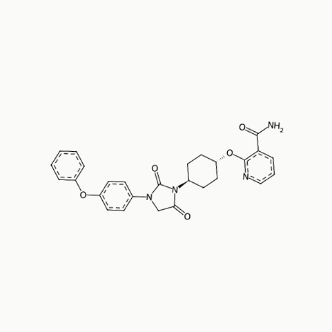 NC(=O)c1cccnc1O[C@H]1CC[C@H](N2C(=O)CN(c3ccc(Oc4ccccc4)cc3)C2=O)CC1